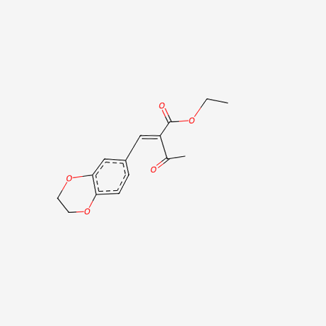 CCOC(=O)/C(=C/c1ccc2c(c1)OCCO2)C(C)=O